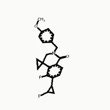 COc1ccc(CN2CC3(CC3)c3c(ccc(C4CC4F)c3F)C2=O)cc1